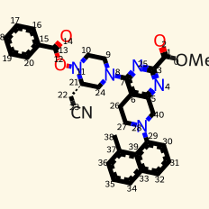 COC(=O)c1nc2c(c(N3CCN(OC(=O)c4ccccc4)[C@@H](CC#N)C3)n1)CCN(c1cccc3cccc(C)c13)C2